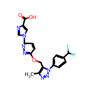 Cc1nnn(-c2ccc(C(F)F)cc2)c1COc1ccc(-n2cnc(C(=O)O)c2)nn1